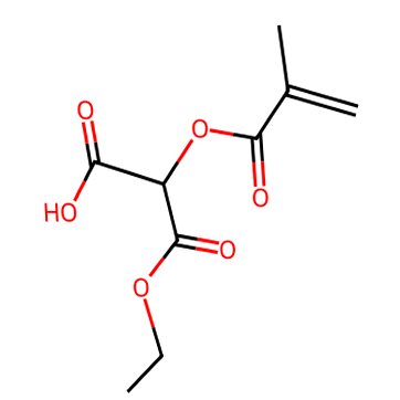 C=C(C)C(=O)OC(C(=O)O)C(=O)OCC